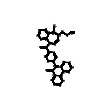 O=C(Nc1ccc(C(=O)N2C=CC(CCO)[S+]([O-])c3ccccc32)cc1)c1ccccc1-c1ccccc1